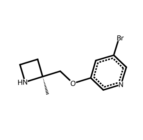 C[C@@]1(COc2cncc(Br)c2)CCN1